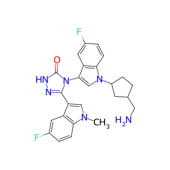 Cn1cc(-c2n[nH]c(=O)n2-c2cn(C3CCC(CN)C3)c3ccc(F)cc23)c2cc(F)ccc21